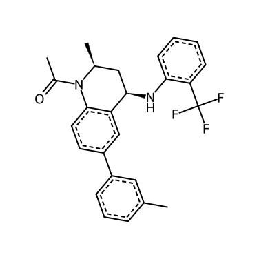 CC(=O)N1c2ccc(-c3cccc(C)c3)cc2[C@H](Nc2ccccc2C(F)(F)F)C[C@@H]1C